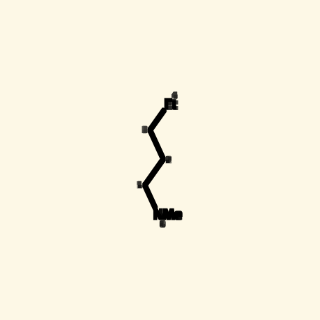 [CH2]NCCCCC